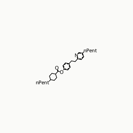 CCCCCc1ccc(CCc2ccc(OC(=O)C3CCC(CCCCC)CC3)cc2)nc1